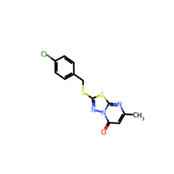 Cc1cc(=O)n2nc(SCc3ccc(Cl)cc3)sc2n1